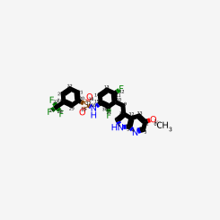 COc1cnc2[nH]cc(Cc3c(F)ccc(NS(=O)(=O)c4cccc(C(F)(F)F)c4)c3F)c2c1